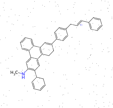 CNc1cc2c(cc1C1C=CC=CC1)c1c(c3ccccc32)C=C(c2ccc(C/C=C/c3ccccc3)cc2)CC1